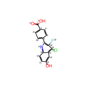 O=C(O)c1ccc(-c2nc3ccc(O)cc3c(Cl)c2F)cc1